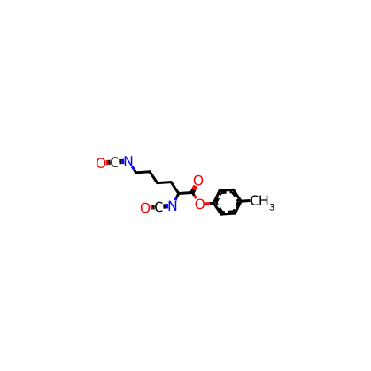 Cc1ccc(OC(=O)C(CCCCN=C=O)N=C=O)cc1